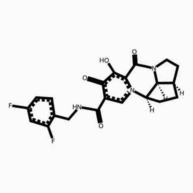 O=C(NCc1ccc(F)cc1F)c1cn2c(c(O)c1=O)C(=O)N1CC[C@H]3CC[C@@H]2[C@H]31